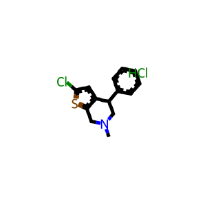 CN1Cc2sc(Cl)cc2C(c2ccccc2)C1.Cl